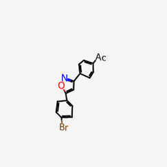 CC(=O)c1ccc(-c2cc(-c3ccc(Br)cc3)on2)cc1